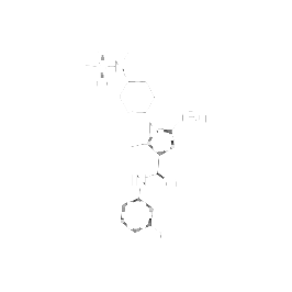 Cc1c(C(=O)Nc2cccc(C(F)(F)F)c2)cc(C(C)(C)C)n1[C@H]1CC[C@H](N(C)S(C)(=O)=O)CC1